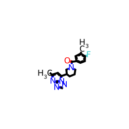 Cc1cc(C2CCCN(C(=O)c3ccc(F)c(C)c3)C2)n2ncnc2n1